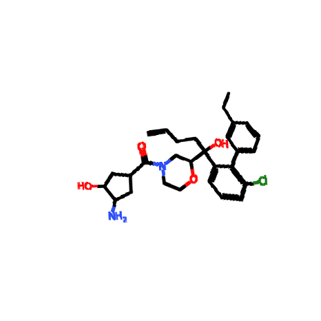 C=CCCC(O)(c1cccc(Cl)c1-c1cccc(CC)c1)C1CN(C(=O)C2CC(N)C(O)C2)CCO1